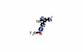 Cn1cc(-c2cc(-c3ccc(N4CCN(C(=O)C#CC(F)(F)F)CC4)nc3)c3c(C#N)cnn3c2)cn1